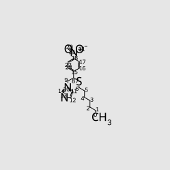 CCCCCCCSC(Cn1ccnc1)c1ccc([N+](=O)[O-])cc1